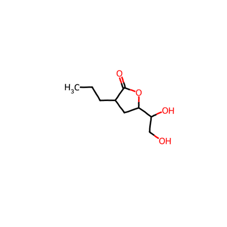 CCCC1CC(C(O)CO)OC1=O